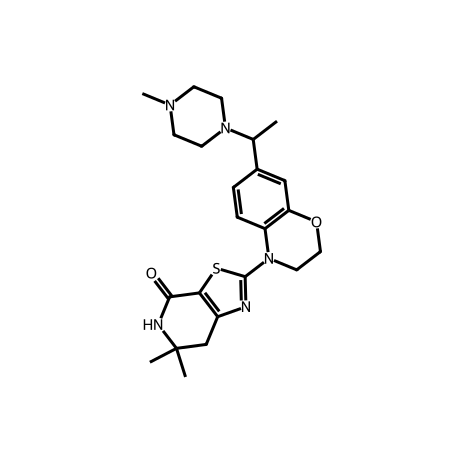 CC(c1ccc2c(c1)OCCN2c1nc2c(s1)C(=O)NC(C)(C)C2)N1CCN(C)CC1